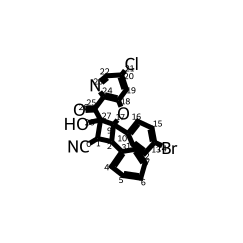 N#CC1C(c2ccccc2)C2(c3ccc(Br)cc3)Oc3cc(Cl)cnc3C(=O)C12O